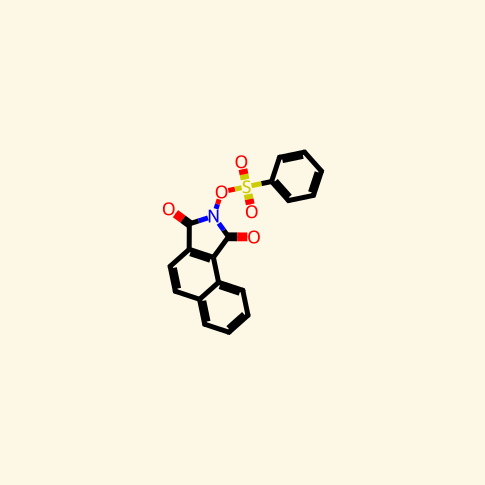 O=C1c2ccc3ccccc3c2C(=O)N1OS(=O)(=O)c1ccccc1